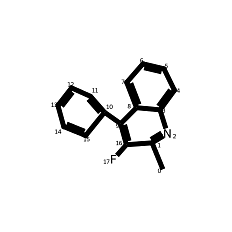 Cc1nc2ccccc2c(-c2ccccc2)c1F